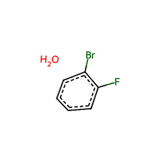 Fc1ccccc1Br.O